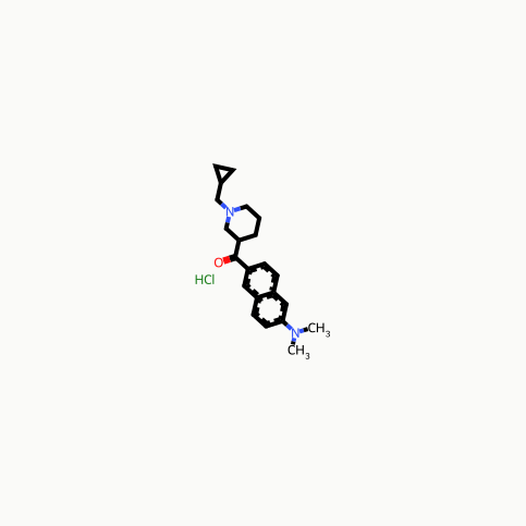 CN(C)c1ccc2cc(C(=O)C3CCCN(CC4CC4)C3)ccc2c1.Cl